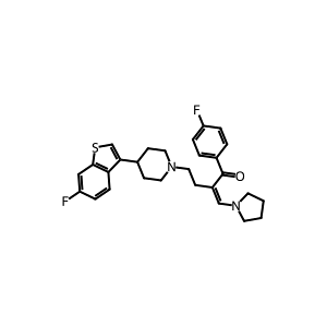 O=C(C(=CN1CCCC1)CCN1CCC(c2csc3cc(F)ccc23)CC1)c1ccc(F)cc1